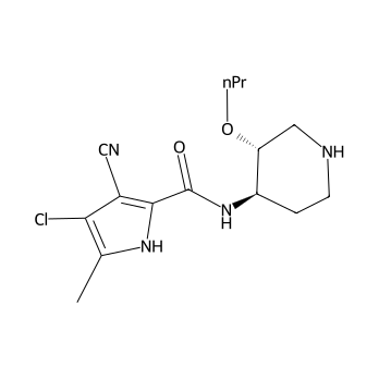 CCCO[C@@H]1CNCC[C@H]1NC(=O)c1[nH]c(C)c(Cl)c1C#N